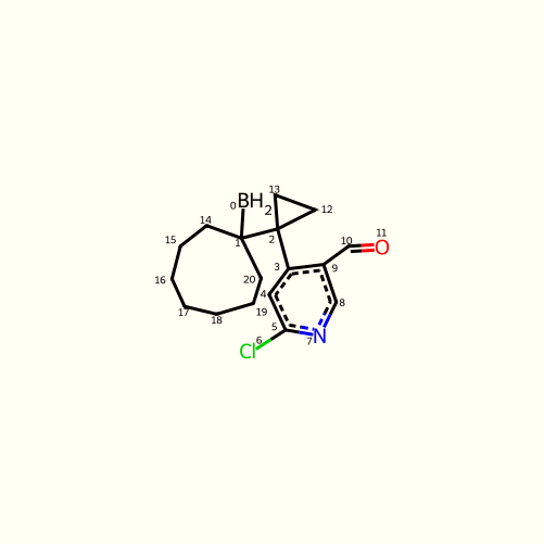 BC1(C2(c3cc(Cl)ncc3C=O)CC2)CCCCCCC1